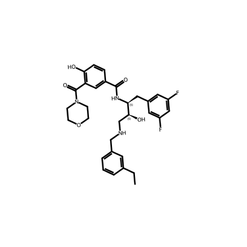 CCc1cccc(CNC[C@H](O)[C@H](Cc2cc(F)cc(F)c2)NC(=O)c2ccc(O)c(C(=O)N3CCOCC3)c2)c1